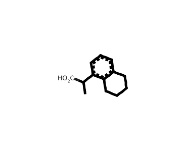 CC(C(=O)O)c1cccc2c1CCCC2